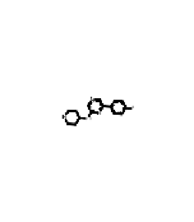 Fc1ccc(-c2cncc(NC3CCNCC3)n2)cc1